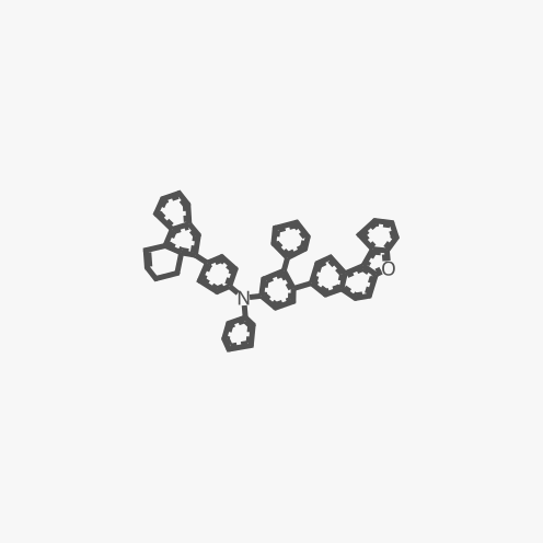 C1=Cc2c(c(-c3ccc(N(c4ccccc4)c4ccc(-c5ccc6c(ccc7oc8ccccc8c76)c5)c(-c5ccccc5)c4)cc3)cc3ccccc23)CC1